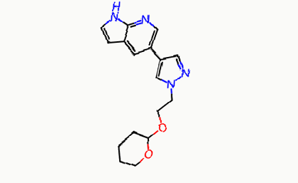 c1cc2cc(-c3cnn(CCOC4CCCCO4)c3)cnc2[nH]1